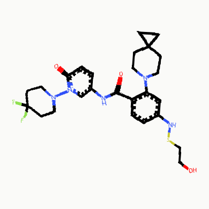 O=C(Nc1ccc(=O)n(N2CCC(F)(F)CC2)c1)c1ccc(NSCCO)cc1N1CCC2(CC1)CC2